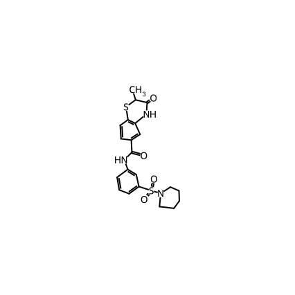 CC1Sc2ccc(C(=O)Nc3cccc(S(=O)(=O)N4CCCCC4)c3)cc2NC1=O